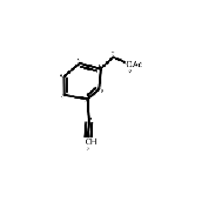 C#Cc1cccc(COC(C)=O)c1